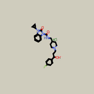 Cl.O=C(NCC1CCN(CCC(O)c2ccc(F)cc2)CC1)n1c(=O)n(C2CC2)c2ccccc21